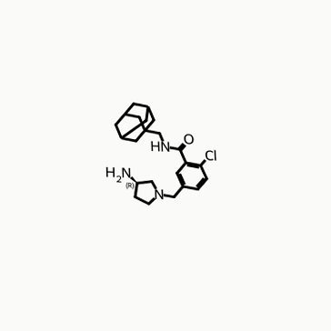 N[C@@H]1CCN(Cc2ccc(Cl)c(C(=O)NCC34CC5CC(CC(C5)C3)C4)c2)C1